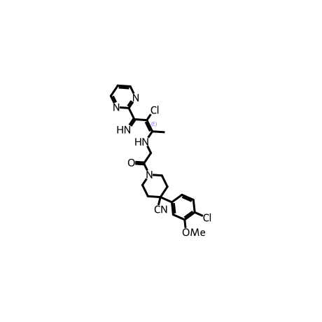 COc1cc(C2(C#N)CCN(C(=O)CN/C(C)=C(/Cl)C(=N)c3ncccn3)CC2)ccc1Cl